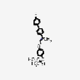 CC[C@@](C)(Oc1ccc(OC/C=C(\C)c2ccc(-c3ccc(F)cc3)cc2)cc1)C(=O)O